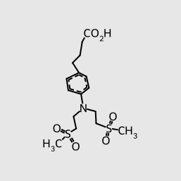 CS(=O)(=O)CCN(CCS(C)(=O)=O)c1ccc(CCCC(=O)O)cc1